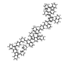 c1ccc(-c2cccc(-n3c4ccccc4c4cc5c6ccccc6n(-c6ccc(-c7cccc(-c8cc(-n9c%10ccccc%10c%10c9ccc9c%11ccccc%11n(-c%11cc(-c%12ccc(-c%13ccc(-c%14nc(-c%15cccc%16ccccc%15%16)nc(-n%15c%16ccccc%16c%16c%15ccc%15c%17ccccc%17n(-c%17ccccn%17)c%15%16)n%14)c%14ccccc%13%14)cc%12)c%12ccccc%12n%11)c9%10)c9ccccc9c8)c7)cc6)c5cc43)n2)nc1